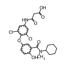 CN(C(=O)c1cc(Oc2c(Cl)cc(NC(=O)CC(=O)O)cc2Cl)ccc1O)C1CCCCC1